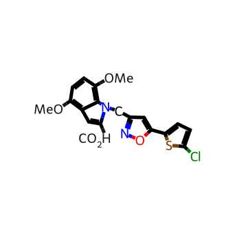 COc1ccc(OC)c2c1cc(C(=O)O)n2Cc1cc(-c2ccc(Cl)s2)on1